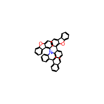 c1ccc(N(c2ccccc2-c2cccc3c2oc2ccccc23)c2cccc3oc4ccccc4c23)c(-c2cccc3ccccc23)c1